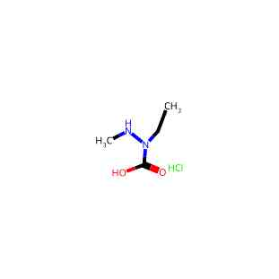 CCN(NC)C(=O)O.Cl